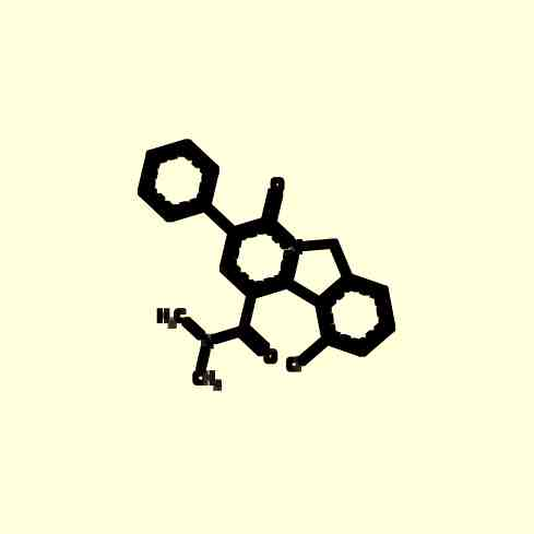 CN(C)C(=O)c1cc(-c2ccccc2)c(=O)n2c1-c1c(Cl)cccc1C2